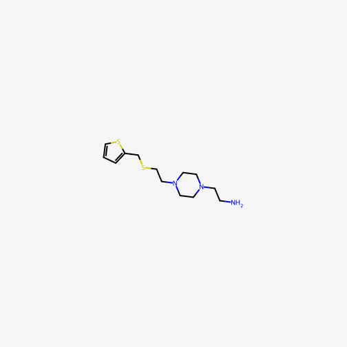 NCCN1CCN(CCSCc2cccs2)CC1